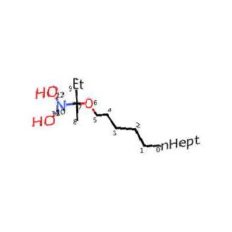 CCCCCCCCCCCCOC(C)(CC)N(O)O